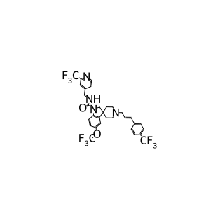 O=C(NCc1ccnc(C(F)(F)F)c1)N1CC2(CCN(C/C=C/c3ccc(C(F)(F)F)cc3)CC2)c2cc(OC(F)(F)F)ccc21